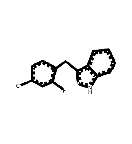 Fc1cc(Cl)ccc1Cc1n[nH]c2ccccc12